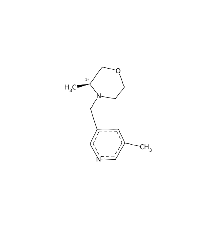 Cc1cncc(CN2CCOC[C@@H]2C)c1